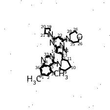 Cc1cc(C)c2c(N3CCCCC3c3cc4nc(N5CCC5)cc(N5CCOCC5)n4n3)ncnc2c1